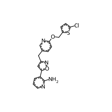 Nc1ncccc1-c1cc(Cc2ccc(OCc3ccc(Cl)s3)nc2)no1